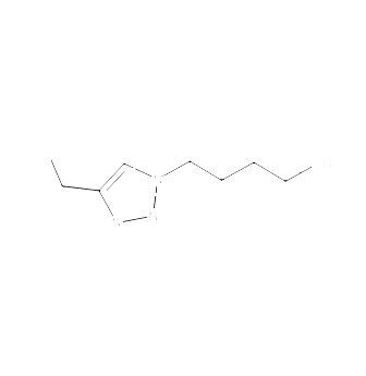 CCCCCN1C=C(CC)NN1